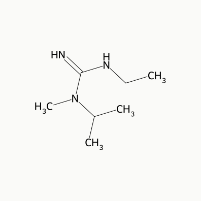 CCNC(=N)N(C)C(C)C